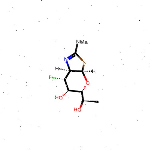 CNC1=N[C@@H]2[C@@H](F)[C@@H](O)[C@@H]([C@@H](C)O)O[C@@H]2S1